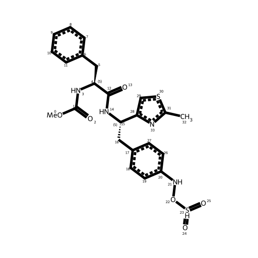 COC(=O)N[C@@H](Cc1ccccc1)C(=O)N[C@@H](Cc1ccc(NO[SH](=O)=O)cc1)c1csc(C)n1